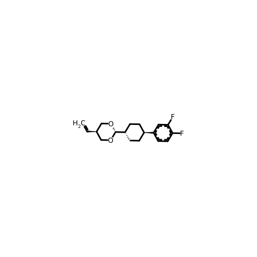 C=C[C@H]1CO[C@H]([C@H]2CC[C@H](c3ccc(F)c(F)c3)CC2)OC1